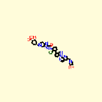 Cc1c(Nc2nccc3cc(CN4CC[C@@H](O)C4)cnc23)cccc1-c1cccc(NC(=O)c2nc3c(n2C)CCN(C[C@H]2CC[C@H](C(=O)O)CC2)C3)c1Cl